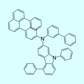 c1ccc(-c2cccc(N(c3ccc(-c4cccc5cccc(-c6ccccc6)c45)cc3)c3ccc4c5c(-c6ccccc6)cccc5n(-c5ccccc5)c4c3)c2)cc1